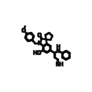 COc1ccc(CN2C(=O)C3(CCCC3)c3cc(/C(=C/C=N)Nc4ccccc4)cc(O)c32)cc1